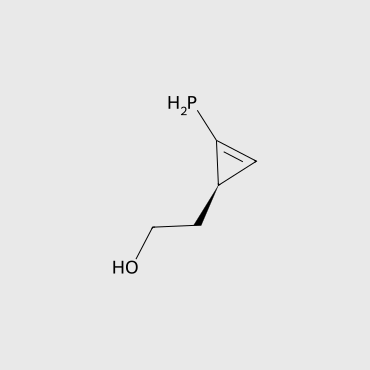 OCC[C@@H]1C=C1P